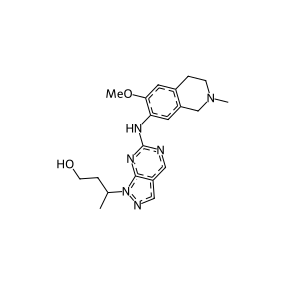 COc1cc2c(cc1Nc1ncc3cnn(C(C)CCO)c3n1)CN(C)CC2